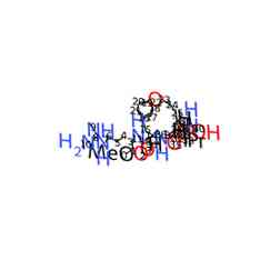 COC(=O)[C@H](CCCNC(=N)N)NC(=O)[C@@H]1Cc2ccc(cc2)OCCC[C@H](C(=O)NO)[C@@H](CC(C)C)C(=O)N1